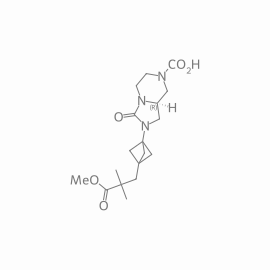 COC(=O)C(C)(C)CC12CC(N3C[C@@H]4CN(C(=O)O)CCN4C3=O)(C1)C2